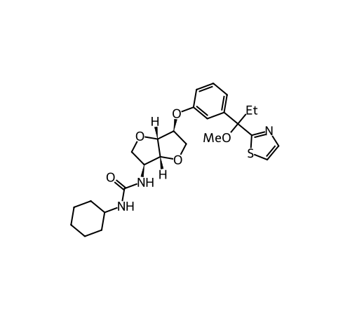 CCC(OC)(c1cccc(O[C@H]2CO[C@H]3[C@@H]2OC[C@@H]3NC(=O)NC2CCCCC2)c1)c1nccs1